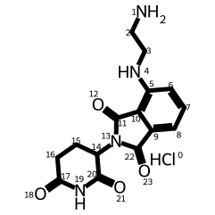 Cl.NCCNc1cccc2c1C(=O)N(C1CCC(=O)NC1=O)C2=O